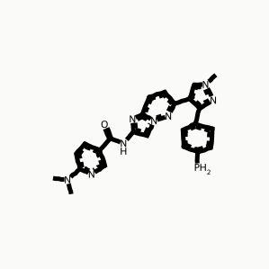 CN(C)c1ccc(C(=O)Nc2cn3nc(-c4cn(C)nc4-c4ccc(P)cc4)ccc3n2)cn1